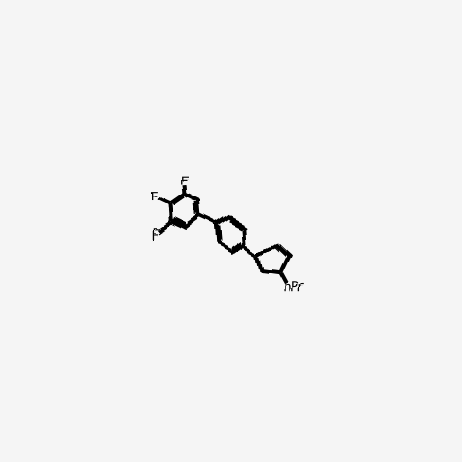 CCCC1CCC(c2ccc(-c3cc(F)c(F)c(F)c3)cc2)C1